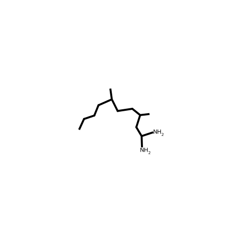 CCCCC(C)CCC(C)CC(N)N